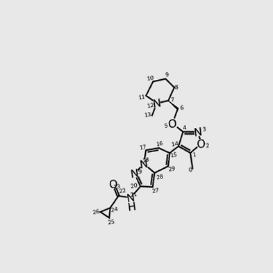 Cc1onc(OC[C@@H]2CCCCN2C)c1-c1ccn2nc(NC(=O)C3CC3)cc2c1